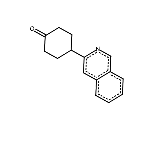 O=C1CCC(c2cc3ccccc3cn2)CC1